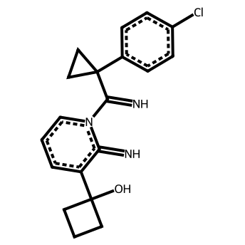 N=C(n1cccc(C2(O)CCC2)c1=N)C1(c2ccc(Cl)cc2)CC1